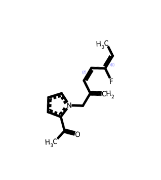 C=C(/C=C\C(F)=C/C)Cn1cccc1C(C)=O